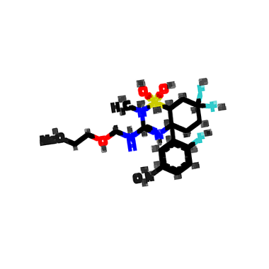 COCCOCNC1=NC2(c3cc([N+](=O)[O-])ccc3F)CCC(F)(F)CC2S(=O)(=O)N1C